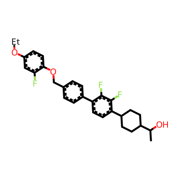 CCOc1ccc(OCc2ccc(-c3ccc(C4CCC(C(C)O)CC4)c(F)c3F)cc2)c(F)c1